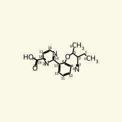 CCC(C#N)C(C)Oc1ccccc1-c1nccc(C(=O)O)n1